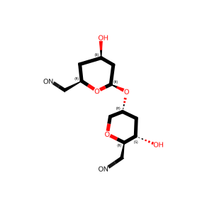 O=NC[C@H]1C[C@@H](O)C[C@@H](O[C@H]2CO[C@H](CN=O)[C@@H](O)C2)O1